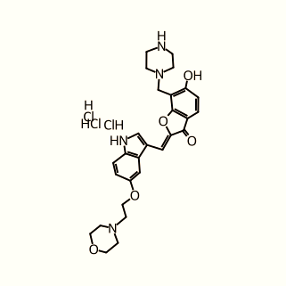 Cl.Cl.Cl.O=C1C(=Cc2c[nH]c3ccc(OCCN4CCOCC4)cc23)Oc2c1ccc(O)c2CN1CCNCC1